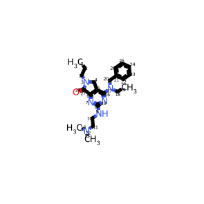 CCCN1Cc2c(nc(NCCN(C)C)nc2N(CC)Cc2ccccc2)C1=O